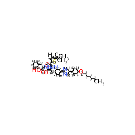 CCCCCCCOc1ccc(-c2cnc(-c3ccc(CC(NC(=O)c4ccc(C(C)(C)C)s4)C(=O)N[C@@H](Cc4ccccc4)C(=O)O)cc3)nc2)cc1